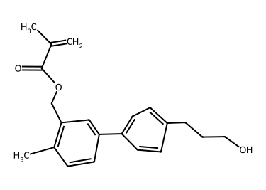 C=C(C)C(=O)OCc1cc(-c2ccc(CCCO)cc2)ccc1C